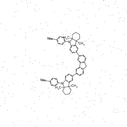 CC12CCCCC1(C)N(c1ccc(C#N)cc1)c1ccc(-c3ccc4c(c3)-c3cc(-c5ccc6c(c5)C5(C)CCCCC5(C)N6c5ccc(C#N)cc5)ccc3C4)cc12